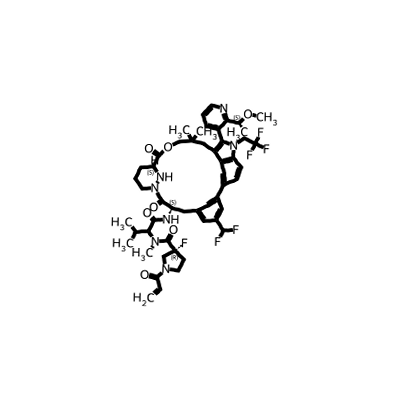 C=CC(=O)N1CC[C@](F)(C(=O)N(C)C(C(=O)N[C@H]2Cc3cc(cc(C(F)F)c3)-c3ccc4c(c3)c(c(-c3cccnc3[C@H](C)OC)n4CC(F)(F)F)CC(C)(C)COC(=O)[C@@H]3CCCN(N3)C2=O)C(C)C)C1